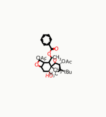 CC(=O)O[C@@H](C(=O)[C@@]1(C)C([C@@H](C)OC(=O)c2ccccc2)[C@]2(OC(C)=O)COC2C[C@@H]1O)C(C)C(C)(C)C